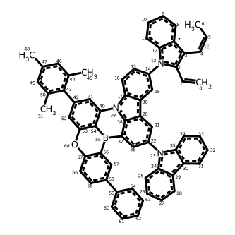 C=Cc1c(/C=C\C)c2ccccc2n1-c1ccc2c(c1)c1cc(-n3c4ccccc4c4ccccc43)cc3c1n2-c1cc(-c2c(C)cc(C)cc2C)cc2c1B3c1cc(-c3ccccc3)ccc1O2